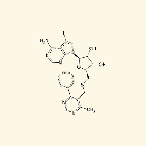 Cc1ncnc(-c2ccccc2)c1CSC[C@H]1O[C@@H](n2cc(I)c3c(N)ncnc32)[C@H](O)[C@@H]1O